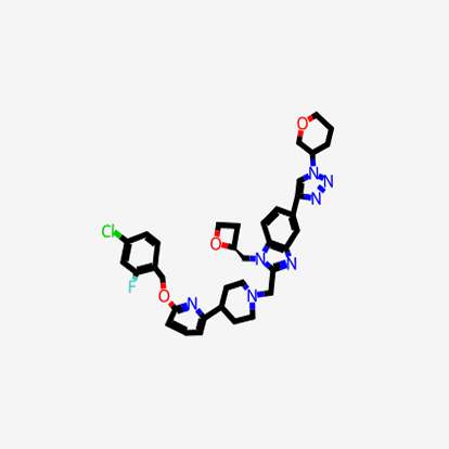 Fc1cc(Cl)ccc1COc1cccc(C2CCN(Cc3nc4cc(-c5cn(C6CCCOC6)nn5)ccc4n3C[C@@H]3CCO3)CC2)n1